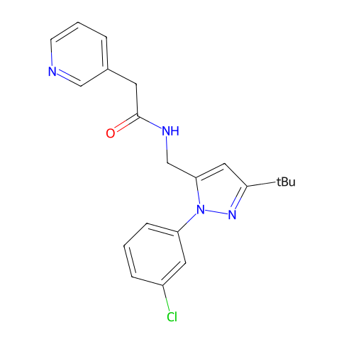 CC(C)(C)c1cc(CNC(=O)Cc2cccnc2)n(-c2cccc(Cl)c2)n1